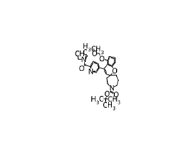 CCN(CC)C(=O)c1ccc(C2=CC3(CCCN(C(=O)OC(C)(C)C)CC3)Oc3cccc(OCOC)c32)cn1